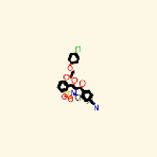 CN1C(C(=O)c2ccc(C#N)cc2)=C(OC(=O)COc2ccc(Cl)cc2)c2ccccc2S1(=O)=O